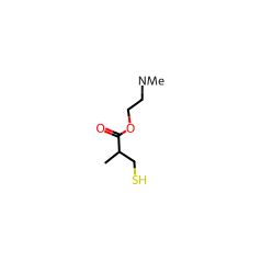 CNCCOC(=O)C(C)CS